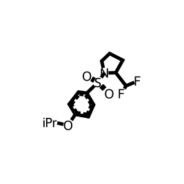 CC(C)Oc1ccc(S(=O)(=O)N2CCCC2C(F)F)cc1